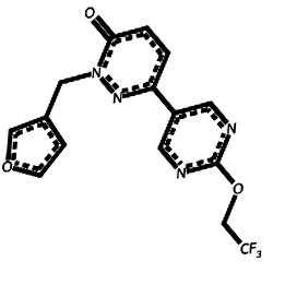 O=c1ccc(-c2cnc(OCC(F)(F)F)nc2)nn1Cc1ccoc1